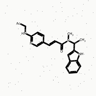 CC(=O)CNc1ccc(C=CC(=O)N(C)C(C)c2cc3ccccc3[nH]2)cn1